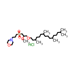 COC(COCCC(C)CCCC(C)CCCC(C)CCCC(C)C)CS(=O)(=O)CCCN1CCOCC1.Cl